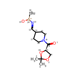 CC1(C)OC[C@H](C(=O)N2CCC(C=N[S@@+]([O-])C(C)(C)C)CC2)O1